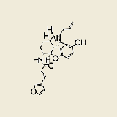 C=CCN1CC[C@@]23c4c5ccc(O)c4C[C@@H]1[C@@H]2CC[C@@H](N(C)C(=O)/C=C/c1ccoc1)[C@@H]3O5